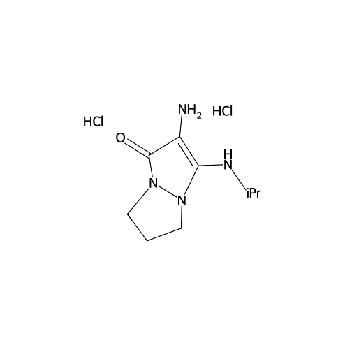 CC(C)Nc1c(N)c(=O)n2n1CCC2.Cl.Cl